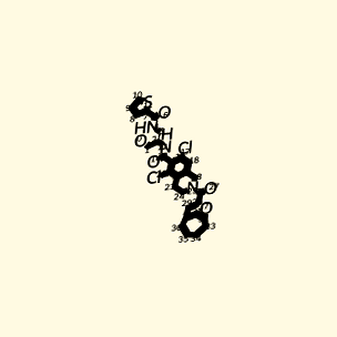 O=C[C@H](CNC(=O)c1cccs1)NC(=O)c1c(Cl)cc2c(c1Cl)CCN(C(=O)C1=CC3=C=C(C=CC=C3)O1)C2